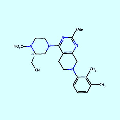 CSc1nc2c(c(N3CCN(C(=O)O)[C@@H](CC#N)C3)n1)CCN(c1cccc(C)c1C)C2